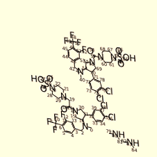 CN(Cc1ccc(C(F)(F)F)c(F)c1)C1CN(C(=O)CN2CCN(S(=O)(=O)O)CC2)CC1c1ccc(Cl)c(Cl)c1.CN(Cc1ccc(C(F)(F)F)c(F)c1)C1CN(C(=O)N2CCN(S(=O)(=O)O)CC2)CC1c1ccc(Cl)c(Cl)c1.CNC.CNC